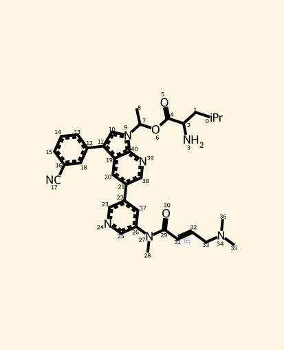 CC(C)CC(N)C(=O)OC(C)n1cc(-c2cccc(C#N)c2)c2cc(-c3cncc(N(C)C(=O)/C=C/CN(C)C)c3)cnc21